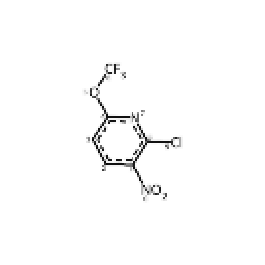 O=[N+]([O-])c1ccc(OC(F)(F)F)nc1Cl